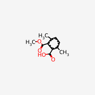 COC(=O)c1c(C)ccc(C)c1C(=O)O